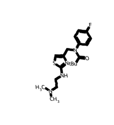 CN(C)CCNc1nc(CN(C(=O)C(C)(C)C)c2ccc(F)cc2)cs1